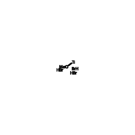 Br.Br.Br.C[O][Ti]